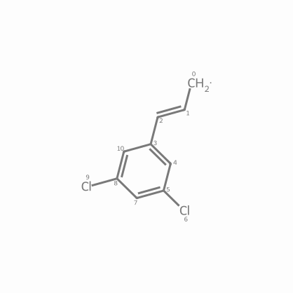 [CH2]C=Cc1cc(Cl)cc(Cl)c1